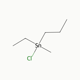 CC[CH2][Sn]([CH3])([Cl])[CH2]C